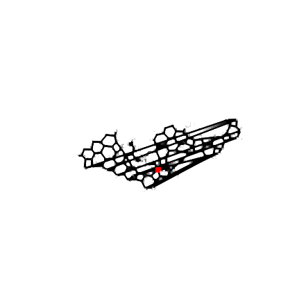 CC1CC2CC3CC(C)C4C5C3C3C2C2C1C1C2C2C6C7C1C1C8C9C%10C%11C%12C%13C(C)C%14CCC%15CCC%16C(C)C%17C%18C%19C%16C%15C%14C%14C%13C%12C%12C(C%14%19)C%13C%18C%17C%14C%15C%13C%13C%12C%11C%10C%10C%13C%11C%15C%14C%12C%13C%11C%11C%10C9C8C8C%11C9C%13C%12C%10C%11C9C(C8C17)C6C1C(C32)C5C4C%10(C(CC(=O)O)C(=O)NCCCCN)C1%11